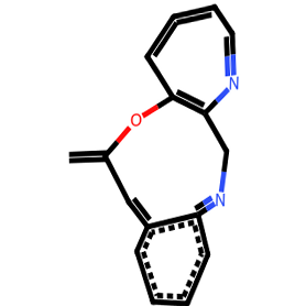 C=C1/C=c2/cccc/c2=N/CC2=C(C=C=CC=N2)O1